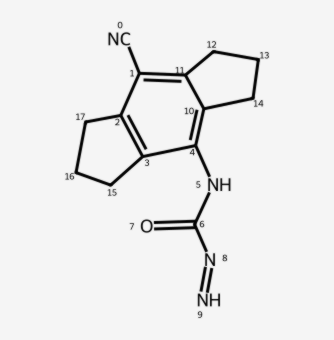 N#Cc1c2c(c(NC(=O)N=N)c3c1CCC3)CCC2